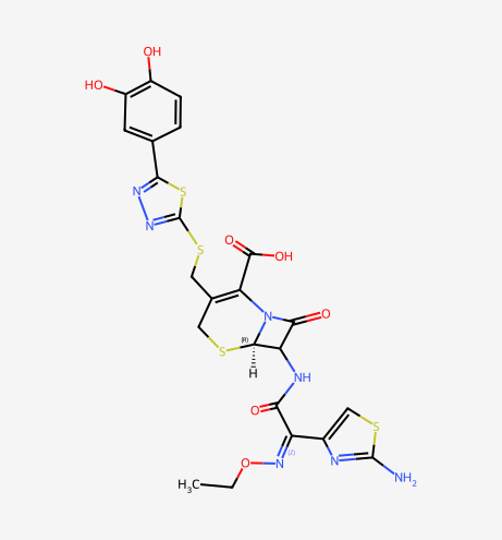 CCO/N=C(\C(=O)NC1C(=O)N2C(C(=O)O)=C(CSc3nnc(-c4ccc(O)c(O)c4)s3)CS[C@H]12)c1csc(N)n1